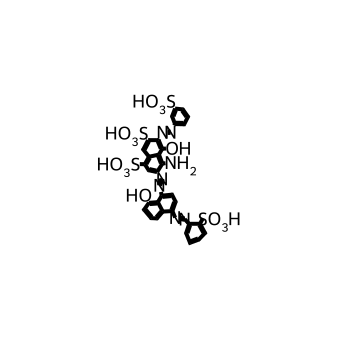 Nc1c(N=Nc2ccc(N=Nc3ccccc3S(=O)(=O)O)c3cccc(O)c23)cc(S(=O)(=O)O)c2cc(S(=O)(=O)O)c(N=Nc3cccc(S(=O)(=O)O)c3)c(O)c12